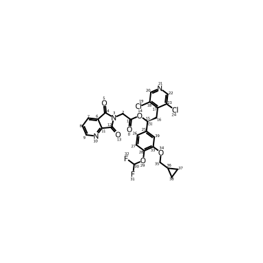 O=C(CN1C(=O)c2cccnc2C1=O)O[C@@H](Cc1c(Cl)cncc1Cl)c1ccc(OC(F)F)c(OCC2CC2)c1